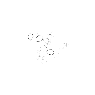 CC1=C(c2ccccc2)C=CC(C(=O)N2CCCc3cc4c(cc32)C(CCN(C)C)CO4)(c2noc(C)n2)C1.O=C(O)C(=O)O